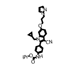 CC(C)OC(=O)Nc1ccc(-c2c(C#N)c3ccc(OCCCn4cccn4)cc3n2CC2CC2)cc1